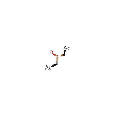 CC(=O)C[S+]([O-])CC(C)=O